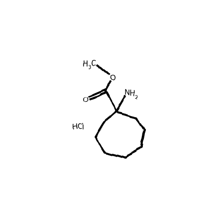 COC(=O)C1(N)CCCCCCC1.Cl